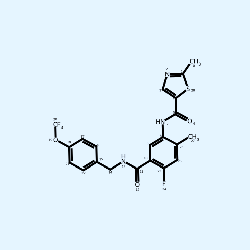 Cc1ncc(C(=O)Nc2cc(C(=O)NCc3ccc(OC(F)(F)F)cc3)c(F)cc2C)s1